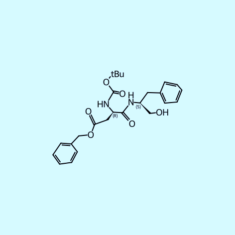 CC(C)(C)OC(=O)N[C@H](CC(=O)OCc1ccccc1)C(=O)N[C@H](CO)Cc1ccccc1